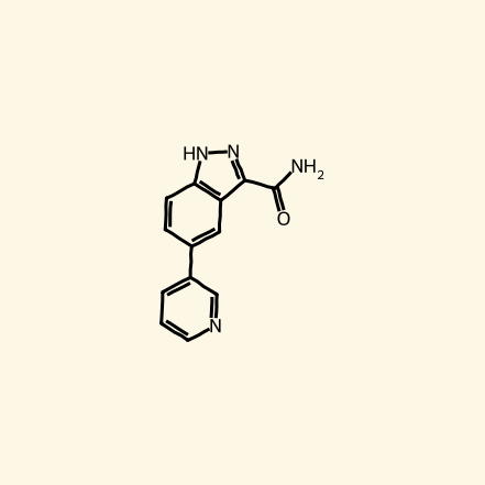 NC(=O)c1n[nH]c2ccc(-c3cccnc3)cc12